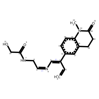 C=C/C(=C\N=C/CNC(=O)CO)c1ccc2c(c1)CCC(=O)N2C